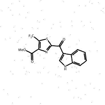 COC(=O)c1nc(C(=O)c2c[nH]c3ccccc23)sc1C(F)(F)F